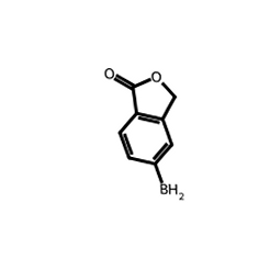 Bc1ccc2c(c1)COC2=O